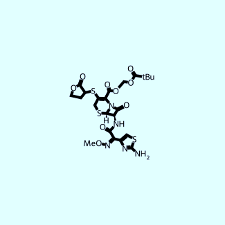 CO/N=C(\C(=O)N[C@@H]1C(=O)N2C(C(=O)OCOC(=O)C(C)(C)C)=C(SC3CCOC3=O)CS[C@H]12)c1csc(N)n1